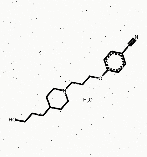 N#Cc1ccc(OCCCN2CCC(CCCO)CC2)cc1.O